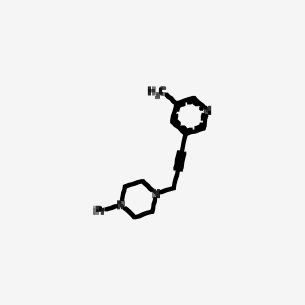 Cc1cncc(C#CCN2CCN(C(C)C)CC2)c1